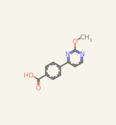 COc1nccc(-c2ccc(C(=O)O)cc2)n1